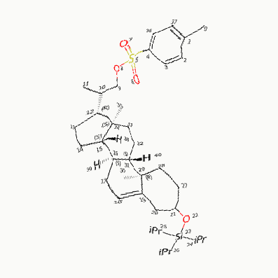 Cc1ccc(S(=O)(=O)OCC(C)[C@H]2CC[C@H]3[C@@H]4CC=C5CC(O[Si](C(C)C)(C(C)C)C(C)C)CC[C@]5(C)[C@H]4CC[C@]23C)cc1